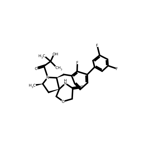 C[C@@H]1C[C@@]2(COCC(=O)N2)[C@H](Cc2cccc(-c3cc(F)cc(F)c3)c2F)N1C(=O)C(C)(C)O